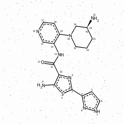 Nc1sc(-c2cc[nH]n2)nc1C(=O)Nc1cnccc1N1CCC[C@H](N)C1